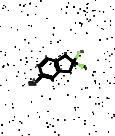 CC(C)(C)c1ccc2c(c1)CC(F)(F)C2